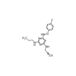 C#CCNc1nc(NCCC)nc(NOc2ccc(F)cc2)n1